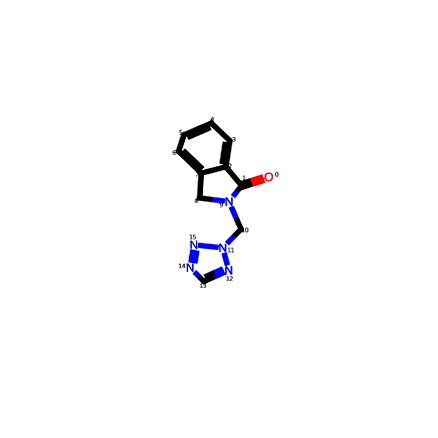 O=C1c2ccccc2CN1Cn1ncnn1